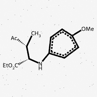 CCOC(=O)[C@@H](Nc1ccc(OC)cc1)[C@@H](C)C(C)=O